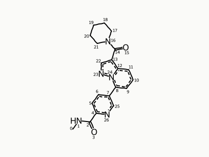 CNC(=O)c1ccc(-c2cccc3c(C(=O)N4CCCCC4)cnn23)cn1